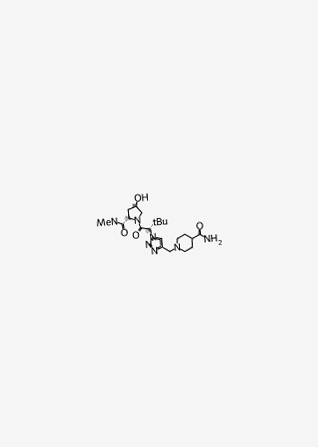 CNC(=O)[C@@H]1C[C@@H](O)CN1C(=O)[C@@H](n1cc(CN2CCC(C(N)=O)CC2)nn1)C(C)(C)C